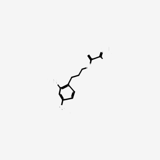 C=C(C)C(=O)OCCCc1ccc([N+](=O)[O-])cc1[N+](=O)[O-]